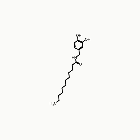 CCCCCCCCCCCC(=O)NCc1ccc(O)c(O)c1